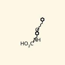 O=C(O)CCNCCc1ccc(OCCCCCc2ccccc2)cc1